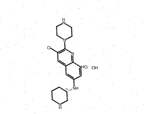 Cl.Cl.Clc1cc2cc(N[C@H]3CCCNC3)ccc2nc1N1CCNCC1